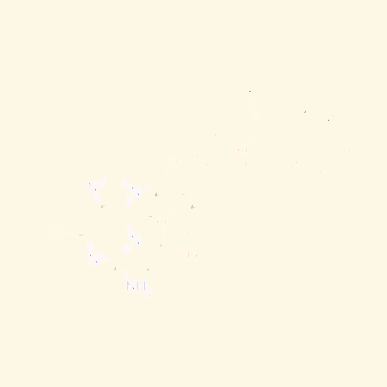 COc1nc(N)nc2c1ncn2[C@@H]1O[C@H](COC(=O)c2ccccc2)C[C@@]1(C)OC(C)=O